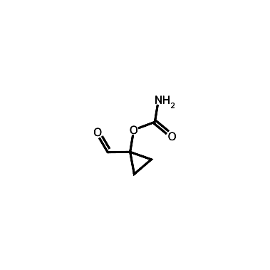 NC(=O)OC1(C=O)CC1